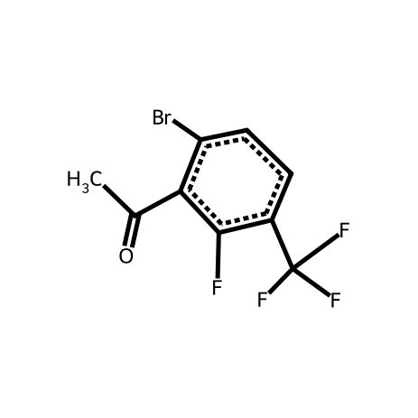 CC(=O)c1c(Br)ccc(C(F)(F)F)c1F